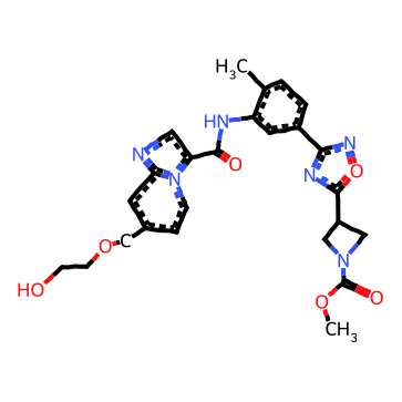 COC(=O)N1CC(c2nc(-c3ccc(C)c(NC(=O)c4cnc5cc(COCCO)ccn45)c3)no2)C1